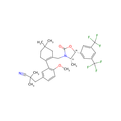 COc1ccc(CC(C)(C)C#N)cc1C1=C(CN2C(=O)O[C@H](c3cc(C(F)(F)F)cc(C(F)(F)F)c3)[C@@H]2C)CC(C)(C)CC1